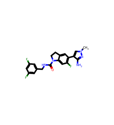 Cn1cc(-c2cc3c(cc2F)N(C(=O)NCc2cc(F)cc(F)c2)CC3)c(N)n1